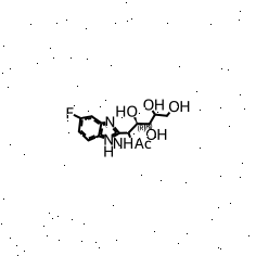 CC(=O)NC(c1nc2cc(F)ccc2[nH]1)[C@@H](O)[C@@H](O)C(O)CO